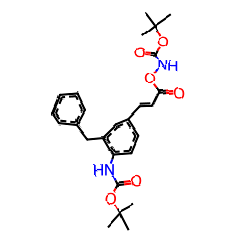 CC(C)(C)OC(=O)NOC(=O)C=Cc1ccc(NC(=O)OC(C)(C)C)c(Cc2ccccc2)c1